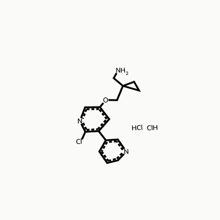 Cl.Cl.NCC1(COc2cnc(Cl)c(-c3cccnc3)c2)CC1